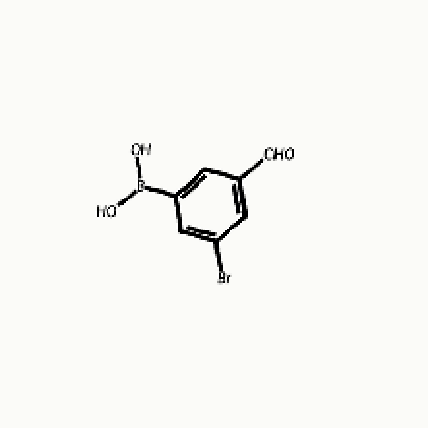 O=Cc1cc(Br)cc(B(O)O)c1